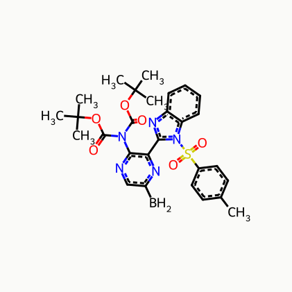 Bc1cnc(N(C(=O)OC(C)(C)C)C(=O)OC(C)(C)C)c(-c2nc3ccccc3n2S(=O)(=O)c2ccc(C)cc2)n1